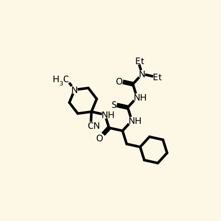 CCN(CC)C(=O)NC(=S)NC(CC1CCCCC1)C(=O)NC1(C#N)CCN(C)CC1